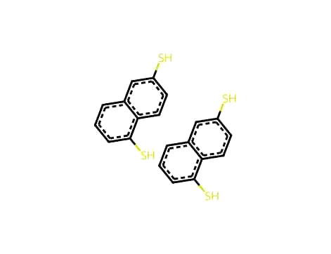 Sc1ccc2c(S)cccc2c1.Sc1ccc2c(S)cccc2c1